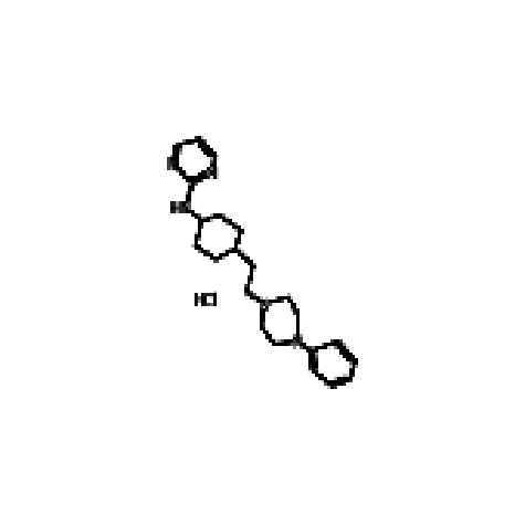 Cl.c1ccc(N2CCN(CCC3CCC(Nc4ncccn4)CC3)CC2)cc1